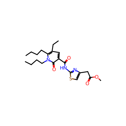 CCCCc1c(CC)cc(C(=O)Nc2nc(CC(=O)OC)cs2)c(=O)n1CCCC